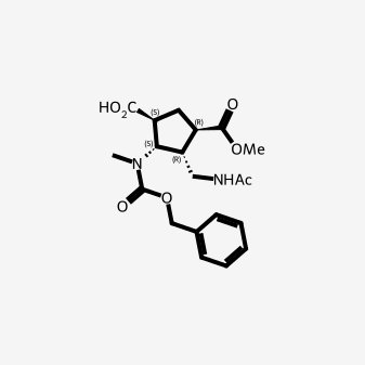 COC(=O)[C@@H]1C[C@H](C(=O)O)[C@@H](N(C)C(=O)OCc2ccccc2)[C@H]1CNC(C)=O